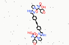 C[C@H]1C[C@@H](c2nc(-c3ccc(C#Cc4ccc(-c5c[nH]c([C@@H]6C[C@H](C)CN6C(=O)[C@H](C6CCOCC6)N(C)C(=O)O)n5)cc4)cc3)c[nH]2)N(C(=O)[C@H](C2CCOCC2)N(C)C(=O)O)C1